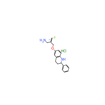 Cl.NC/C(=C/F)COc1ccc2c(c1)CCC(c1ccccc1)N2